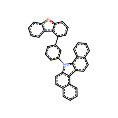 c1cc(-c2cccc3oc4ccccc4c23)cc(-n2c3ccc4ccccc4c3c3ccc4ccccc4c32)c1